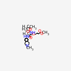 COC(=O)C=CCOC[C@@](C)(NC(=O)OC(C)(C)C)C(=O)Nc1ccc2c(c1)CCN(C)CC2